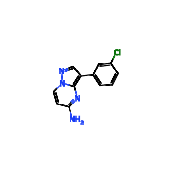 Nc1ccn2ncc(-c3cccc(Cl)c3)c2n1